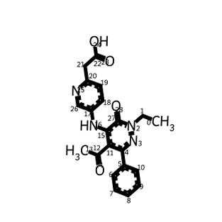 CCn1nc(-c2ccccc2)c(C(C)=O)c(Nc2ccc(CC(=O)O)nc2)c1=O